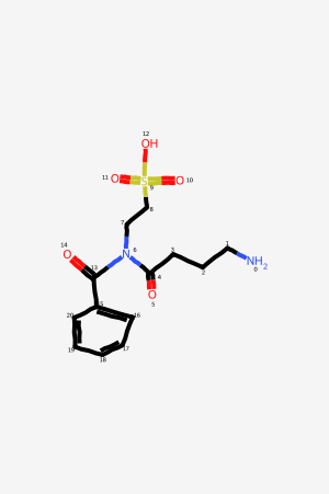 NCCCC(=O)N(CCS(=O)(=O)O)C(=O)c1ccccc1